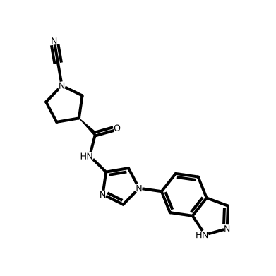 N#CN1CC[C@H](C(=O)Nc2cn(-c3ccc4cn[nH]c4c3)cn2)C1